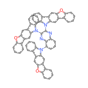 c1cc(-n2c3ccccc3c3cc4oc5ccccc5c4cc32)c2nc(-n3c4ccccc4c4cc5oc6ccccc6c5cc43)c(-n3c4ccccc4c4cc5oc6ccccc6c5cc43)nc2c1